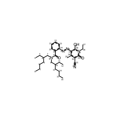 CCCCC(CC)CN(CC(CC)CCCC)C(=O)c1ccccc1/N=N/c1c(C)c(C#N)c(=O)n(CC)c1O